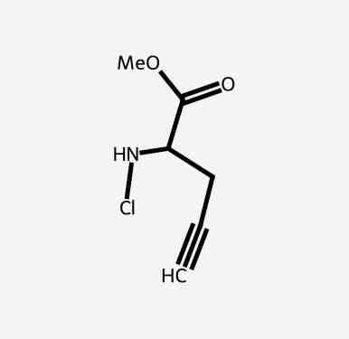 C#CCC(NCl)C(=O)OC